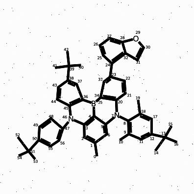 Cc1cc2c3c(c1)N(c1c(C)cc(C(C)(C)C)cc1C)c1ccc(-c4cccc5occc45)cc1B3c1cc(C(C)(C)C)ccc1N2c1ccc(C(C)(C)C)cc1